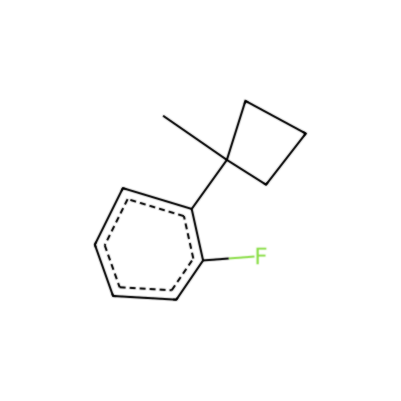 CC1(c2ccccc2F)CCC1